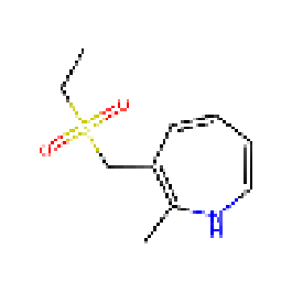 CCS(=O)(=O)CC1=C(C)NC=CC=C1